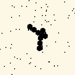 O=P12c3ccccc3-c3cc(-c4ccc(-c5ccccn5)cc4)ccc3N1c1ccc(-c3ccc(-c4ccccn4)cc3)cc1-c1ccccc12